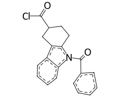 O=C(Cl)C1CCc2c(c3ccccc3n2C(=O)c2ccccc2)C1